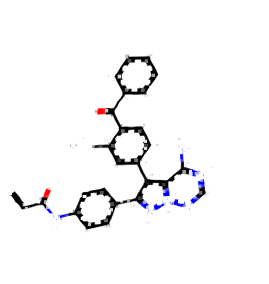 C=CC(=O)Nc1ccc(-c2nn3ncnc(N)c3c2-c2ccc(C(=O)c3ccccc3)c(OC)c2)cc1